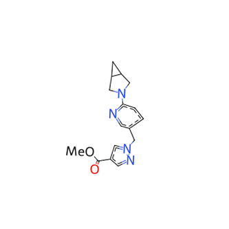 COC(=O)c1cnn(Cc2ccc(N3CC4CC4C3)nc2)c1